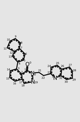 O=c1c2c(-c3ccc4ccccc4c3)cccc2cnn1CCc1ccc2ccccc2n1